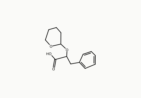 O=C(O)C(Cc1ccccc1)OC1CCCCO1